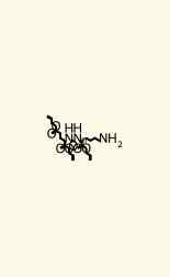 C=CCOC(=O)CCC(NC(=O)N[C@@H](CCCCN)C(=O)OCC=C)C(=O)OCC=C